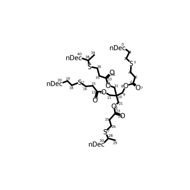 CCCCCCCCCCCCSCCC(=O)OCC(COC(=O)CCSCCCCCCCCCCCC)(COC(=O)CCSC(C)CCCCCCCCCC)COC(=O)CCSC(C)CCCCCCCCCC